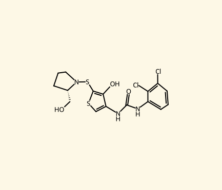 O=C(Nc1csc(SN2CCC[C@H]2CO)c1O)Nc1cccc(Cl)c1Cl